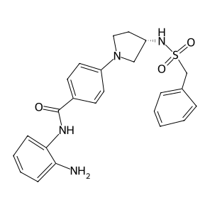 Nc1ccccc1NC(=O)c1ccc(N2CC[C@H](NS(=O)(=O)Cc3ccccc3)C2)cc1